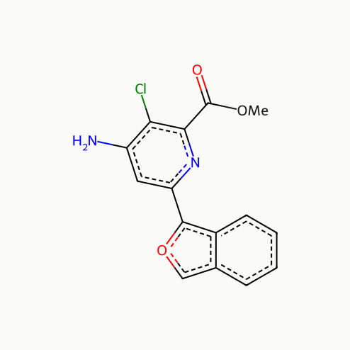 COC(=O)c1nc(-c2occ3ccccc23)cc(N)c1Cl